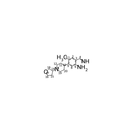 Cc1cc(C=N)c(N)cc1C1CCN(C2CCOC2)CC1